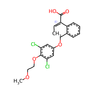 C/C=C(/C(=O)O)c1ccccc1COc1cc(Cl)c(OCCOC)c(Cl)c1